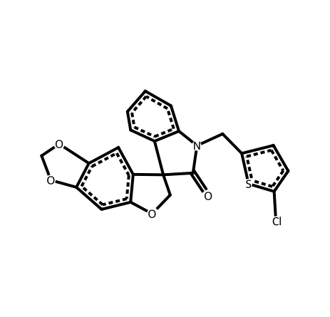 O=C1N(Cc2ccc(Cl)s2)c2ccccc2C12COc1cc3c(cc12)OCO3